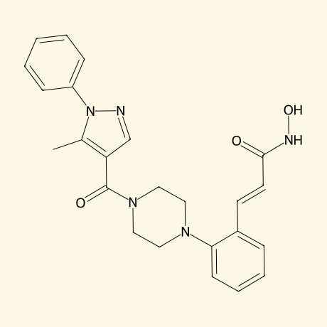 Cc1c(C(=O)N2CCN(c3ccccc3/C=C/C(=O)NO)CC2)cnn1-c1ccccc1